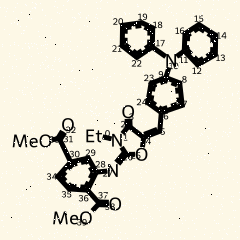 CCN1C(=O)/C(=C\c2ccc(N(c3ccccc3)c3ccccc3)cc2)O/C1=N/c1cc(C(=O)OC)ccc1C(=O)OC